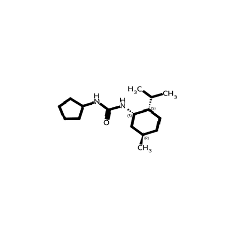 CC(C)[C@@H]1CC[C@@H](C)C[C@@H]1NC(=O)NC1CCCC1